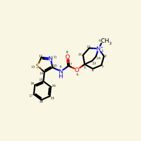 C[N+]12CCCC(OC(=O)Nc3ncsc3-c3ccccc3)(CC1)CC2